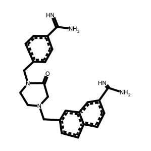 N=C(N)c1ccc(CN2CCN(Cc3ccc4ccc(C(=N)N)cc4c3)CC2=O)cc1